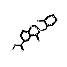 O=C(NO)c1ccc2ncn(Cc3ccccc3Cl)c(=O)c2c1